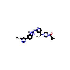 Cc1cc(-c2ccc3nc(Nc4cc([C@H](C)N5CCN(C(=O)C6CC6)CC5)ccn4)[nH]c3c2)ncn1